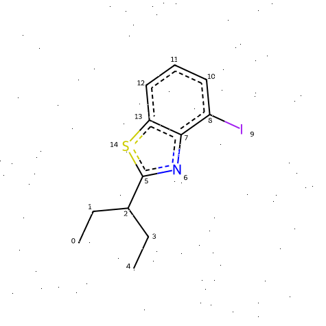 CCC(CC)c1nc2c(I)cccc2s1